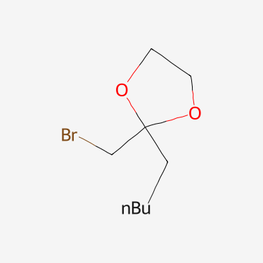 CCCCCC1(CBr)OCCO1